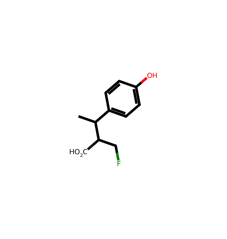 CC(c1ccc(O)cc1)C(CF)C(=O)O